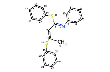 CC(=CC(=Nc1ccccc1)Sc1ccccc1)Sc1ccccc1